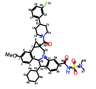 COc1ccc2c(c1)C1CC1(C(=O)N1CCC(c3cccc(F)c3)CC1)CN1c3cc(C(=O)NS(=O)(=O)N(C)C)ccc3C(C3CCCCC3)C21